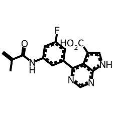 C=C(C)C(=O)Nc1cc(F)cc(-c2ncnc3[nH]cc(C(=O)O)c23)c1